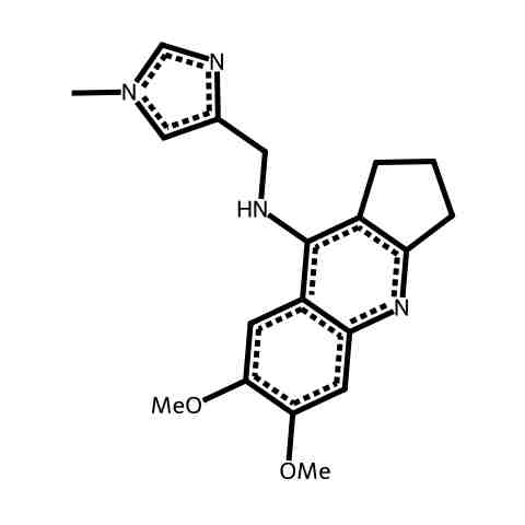 COc1cc2nc3c(c(NCc4cn(C)cn4)c2cc1OC)CCC3